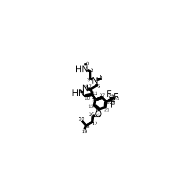 CNCCN(C)Cc1n[nH]cc1-c1cc(OCCC(C)C)cc(C(F)(F)F)c1